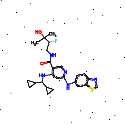 CC(C)(O)[C@H](F)CNC(=O)c1cnc(Nc2ccc3ncsc3c2)cc1NC(C1CC1)C1CC1